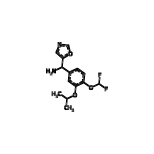 CC(C)Oc1cc(C(N)c2cnco2)ccc1OC(F)F